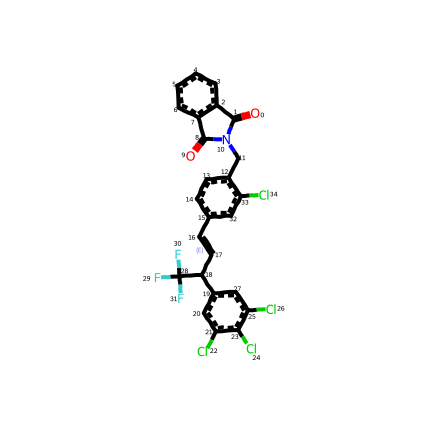 O=C1c2ccccc2C(=O)N1Cc1ccc(/C=C/C(c2cc(Cl)c(Cl)c(Cl)c2)C(F)(F)F)cc1Cl